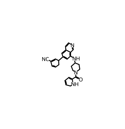 N#CC1=CC(c2cc(NC3CCN(C(=O)C4=CC=CCN4)CC3)c3cnccc3c2)CC=C1